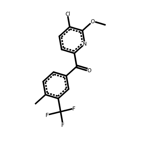 COc1nc(C(=O)c2ccc(C)c(C(F)(F)F)c2)ccc1Cl